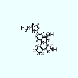 Nc1nccc(-c2ccc3nc([C@@H]4CNC[C@H]4c4ccccc4)nc(O)c3c2)n1